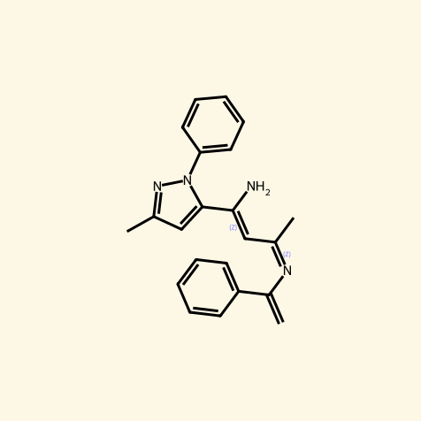 C=C(/N=C(C)\C=C(/N)c1cc(C)nn1-c1ccccc1)c1ccccc1